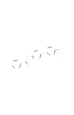 C=C(/C=C\C(=C/N)c1cc2c(cc1C)CCC2)NC(=O)c1c(F)cccc1F